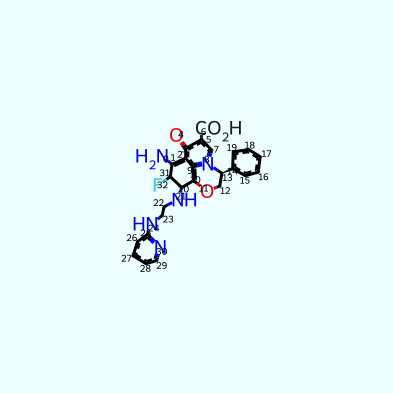 NC1=c2c(=O)c(C(=O)O)cn3c2=C(OC[C@@H]3c2ccccc2)C(NCCNc2ccccn2)C1F